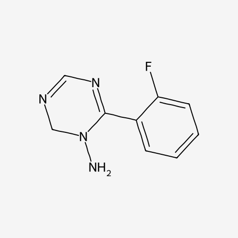 NN1CN=CN=C1c1ccccc1F